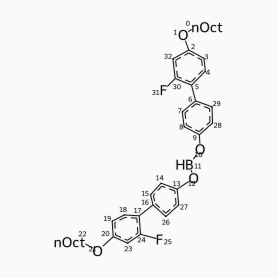 CCCCCCCCOc1ccc(-c2ccc(OBOc3ccc(-c4ccc(OCCCCCCCC)cc4F)cc3)cc2)c(F)c1